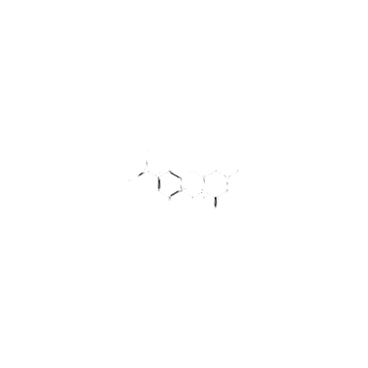 CC1CN(C)CC(=O)N1Cc1ccc([N+](=O)[O-])cc1